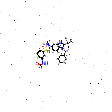 CC(=O)Nc1cccc(S(=O)(=O)N(C)c2ccc3c(c2)nc(C(C)(C)C)n3CC2CCCCC2)c1